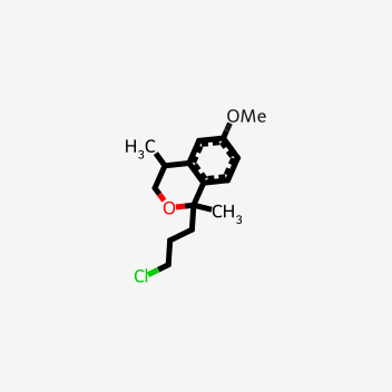 COc1ccc2c(c1)C(C)COC2(C)CCCCl